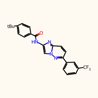 CC(C)(C)c1ccc(C(=O)Nc2cn3nc(-c4cccc(C(F)(F)F)c4)ccc3n2)cc1